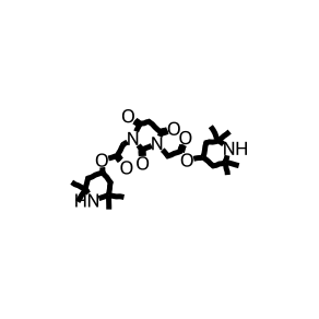 CC1(C)CC(OC(=O)CN2C(=O)CC(=O)N(CC(=O)OC3CC(C)(C)NC(C)(C)C3)C2=O)CC(C)(C)N1